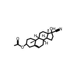 CC(=O)OC1CC[C@@]2(C)C(=CC[C@@H]3[C@H]2CC[C@@]2(C)[C@H]3CCC2(O)C#N)C1